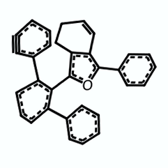 c1cccc(-c2cccc(-c3ccccc3)c2-c2oc(-c3ccccc3)c3c2CCC=C3)c#1